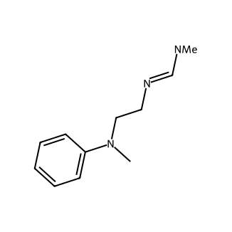 CN/C=N/CCN(C)c1ccccc1